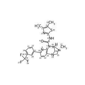 Cc1nc(NC(=O)N2c3nc(-c4cccc(C(F)(F)F)c4)ccc3N3C[C@@H](C)[C@H]2C3)sc1C